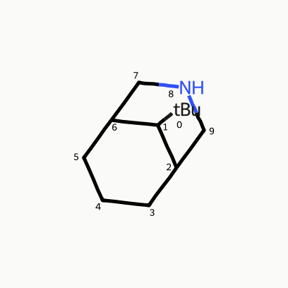 CC(C)(C)C1C2CCCC1CNC2